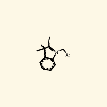 CC(=O)C[N+]1=C(C)C(C)(C)c2ccccc21